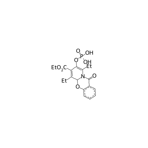 CCOC(=O)C1=C(CC)C2Oc3ccccc3C(=O)N2C(CC)=C1OP(=O)(O)O